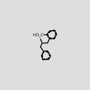 CC(Cc1ccccc1)Cc1ccccc1C(=O)O